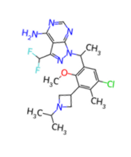 COc1c(C(C)n2nc(C(F)F)c3c(N)ncnc32)cc(Cl)c(C)c1C1CN(C(C)C)C1